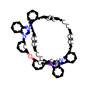 c1cc2c3ccc(ccc4ccc(cc4)c4cccc5c6ccc(ccc7ccc(cc7)c(c1)c2[n+]1cn(c2cccc(c2)oc2cccc(c2)n2c[n+](c7ccccc72)c45)c2ccccc21)cc6)cc3